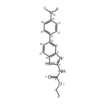 CCOC(=O)Nc1nc2cc(-c3ccc(N(C)C)cc3)ccc2[nH]1